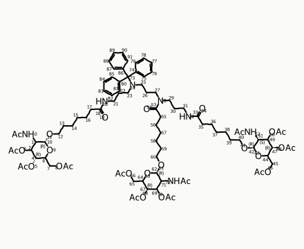 CC(=O)NC1C(OC(C)=O)[C@@H](OC(C)=O)C(COC(C)=O)O[C@H]1OCCCCCCC(=O)NCCCN(CCCN(CCCNC(=O)CCCCCCO[C@@H]1OC(COC(C)=O)[C@H](OC(C)=O)C(OC(C)=O)[C@@H]1NC(C)=O)C(=O)CCCCCCO[C@@H]1OC(COC(C)=O)[C@H](OC(C)=O)C(OC(C)=O)C1NC(C)=O)C(c1ccccc1)(c1ccccc1)c1ccccc1